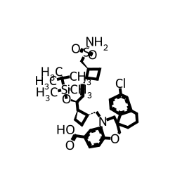 CC(C)(C)[Si](C)(C)O[C@@H](/C=C/[C@H]1CC[C@@H]1CS(N)(=O)=O)[C@@H]1CC[C@H]1CN1CC2(CCCc3cc(Cl)ccc32)COc2ccc(C(=O)O)cc21